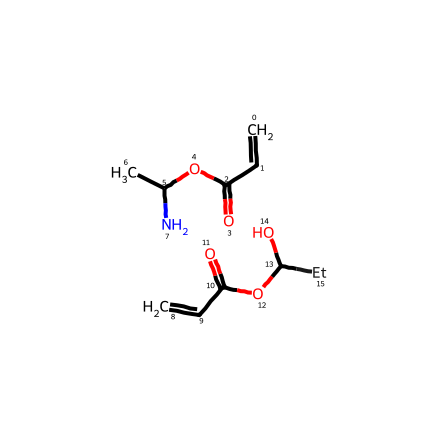 C=CC(=O)OC(C)N.C=CC(=O)OC(O)CC